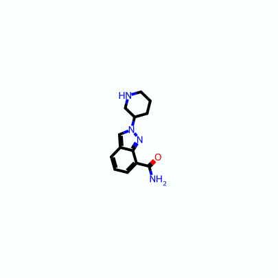 NC(=O)c1cccc2cn(C3CCCNC3)nc12